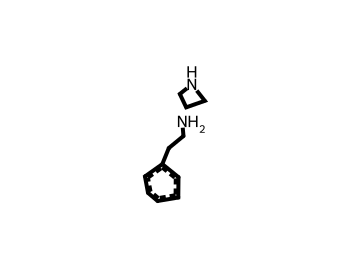 C1CNC1.NCCc1ccccc1